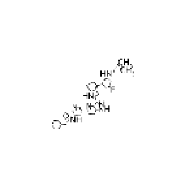 CN(C)CCNc1cc(F)cc(-c2ccnc3[nH]c(-c4n[nH]c5ccc(-c6cncc(NC(=O)CC7CCCCC7)c6)nc45)cc23)c1